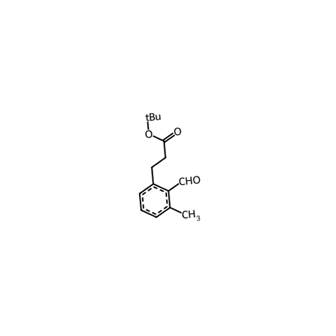 Cc1cccc(CCC(=O)OC(C)(C)C)c1C=O